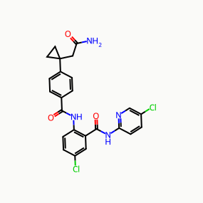 NC(=O)CC1(c2ccc(C(=O)Nc3ccc(Cl)cc3C(=O)Nc3ccc(Cl)cn3)cc2)CC1